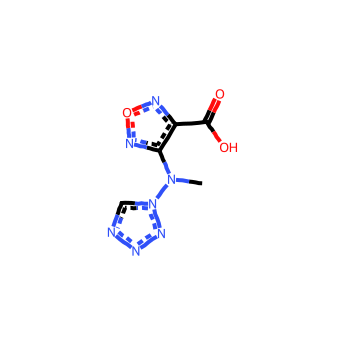 CN(c1nonc1C(=O)O)n1cnnn1